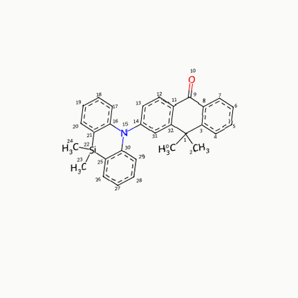 CC1(C)c2ccccc2C(=O)c2ccc(N3c4ccccc4[Si](C)(C)c4ccccc43)cc21